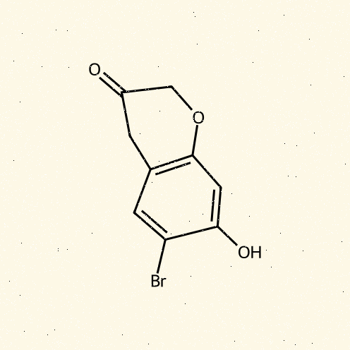 O=C1COc2cc(O)c(Br)cc2C1